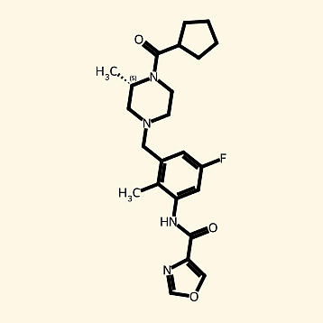 Cc1c(CN2CCN(C(=O)C3CCCC3)[C@@H](C)C2)cc(F)cc1NC(=O)c1cocn1